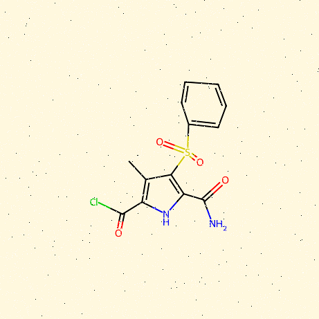 Cc1c(C(=O)Cl)[nH]c(C(N)=O)c1S(=O)(=O)c1ccccc1